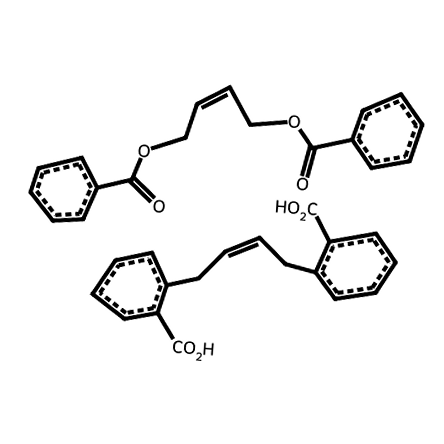 O=C(O)c1ccccc1C/C=C\Cc1ccccc1C(=O)O.O=C(OC/C=C\COC(=O)c1ccccc1)c1ccccc1